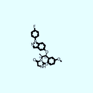 COc1cccc([C@H](Oc2ccc3c(cnn3-c3ccc(F)cc3)c2)[C@H](C)N2C(=O)CNC2=O)c1